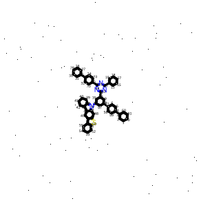 c1ccc(-c2ccc(-c3cc(-c4nc(-c5ccccc5)nc(-c5ccc(-c6ccccc6)cc5)n4)cc(-n4c5ccccc5c5cc6c(cc54)sc4ccccc46)c3)cc2)cc1